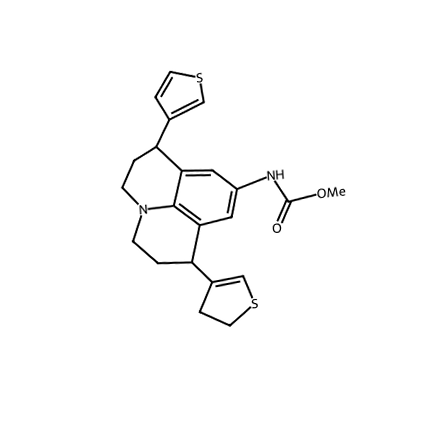 COC(=O)Nc1cc2c3c(c1)C(c1ccsc1)CCN3CCC2C1=CSCC1